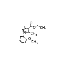 CCOC(=O)c1nnn(-c2ccccc2OC)c1C